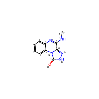 CC(C)Nc1nc2ccccc2n2c(=O)[nH]nc12